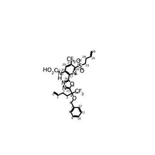 C=CCCC(OCc1ccccc1)(c1nnc(-c2nc(S(=O)(=O)CCC=C)c(C(F)(F)F)cc2NC(=O)O)o1)C(F)(F)F